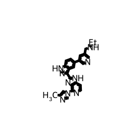 CCNCc1cncc(-c2ccc3[nH]nc(-c4nc5c(-n6cnc(C)c6)nccc5[nH]4)c3c2)c1